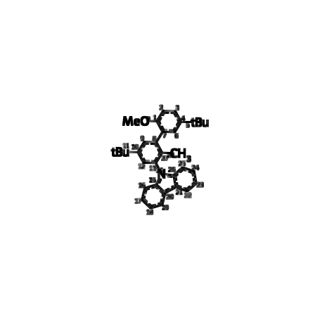 COc1ccc(C(C)(C)C)cc1-c1cc(C(C)(C)C)cc(-n2c3ccccc3c3ccccc32)c1C